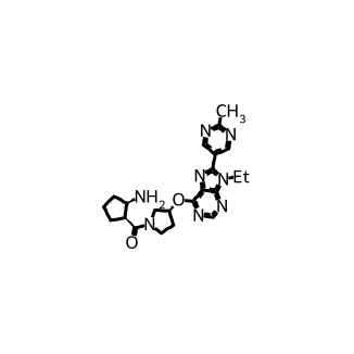 CCn1c(-c2cnc(C)nc2)nc2c(O[C@H]3CCN(C(=O)[C@H]4CCC[C@H]4N)C3)ncnc21